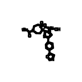 CC(C)(C)C(=O)N1CC[C@](CC(=O)NO)(c2ccc(-c3ccc(-c4cnco4)cc3)s2)S(=O)(=O)CC1